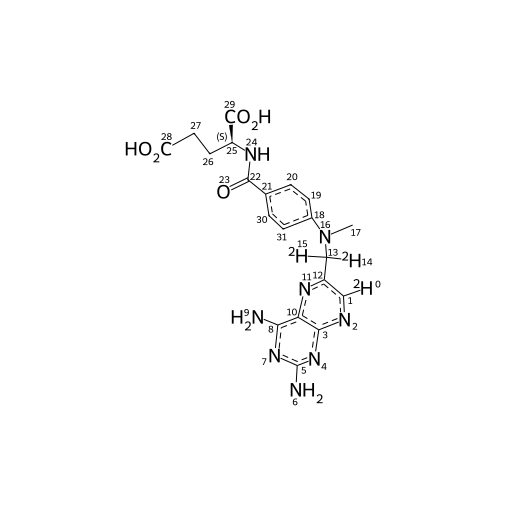 [2H]c1nc2nc(N)nc(N)c2nc1C([2H])([2H])N(C)c1ccc(C(=O)N[C@@H](CCC(=O)O)C(=O)O)cc1